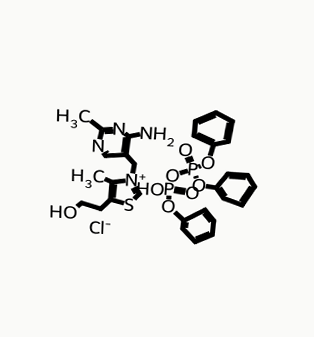 Cc1ncc(C[n+]2csc(CCO)c2C)c(N)n1.O=P(O)(Oc1ccccc1)OP(=O)(Oc1ccccc1)Oc1ccccc1.[Cl-]